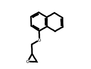 C1=CCc2c(cccc2OCC2CO2)C1